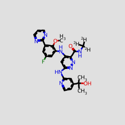 [2H]C([2H])([2H])NC(=O)c1nnc(Nc2cc(C(C)(C)O)ccn2)cc1Nc1cc(F)cc(-c2ncccn2)c1OC